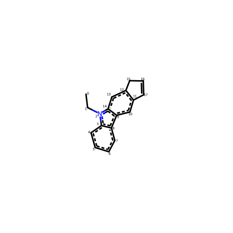 CCn1c2ccccc2c2cc3c(cc21)CC=C3